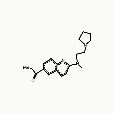 COC(=O)c1ccc2nc(N(C)CCN3CCCC3)ccc2c1